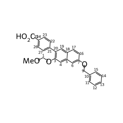 COCOc1cc2cc(OCc3ccccc3)ccc2cc1-c1ccc(C(=O)O)cc1